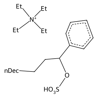 CCCCCCCCCCCCC(OS(=O)(=O)O)c1ccccc1.CC[N+](CC)(CC)CC